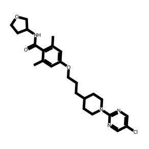 Cc1cc(OCCCC2CCN(c3ncc(Cl)cn3)CC2)cc(C)c1C(=O)NC1CCOC1